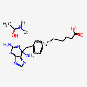 CCCCCC(=O)O.CCN(CC)C(C)O.NC1=NC(N)(Cc2ccccc2)C2=NC=NC2=N1